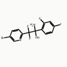 NC(O)(c1ccc(F)cc1F)C(F)(F)c1ccc(Br)cn1